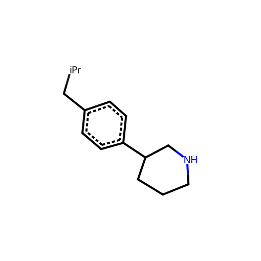 CC(C)Cc1ccc(C2CCCNC2)cc1